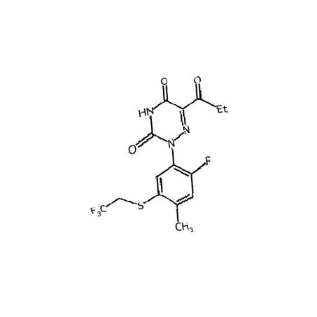 CCC(=O)c1nn(-c2cc(SCC(F)(F)F)c(C)cc2F)c(=O)[nH]c1=O